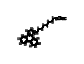 CCCCCCCCCCCCCCCCCCN1CCN2c3ccccc3-c3ccccc3C12